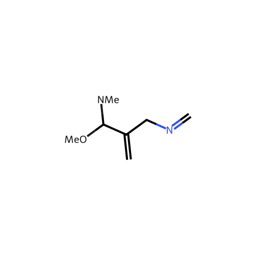 C=NCC(=C)C(NC)OC